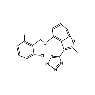 Cc1oc2cccc(OCc3c(F)cccc3Cl)c2c1-c1nn[nH]n1